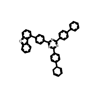 C1=CCC(c2ccc(-c3nc(-c4ccc(-c5ccccc5)cc4)nc(-c4ccc(-c5cccc6oc7ccccc7c56)cc4)n3)cc2)C=C1